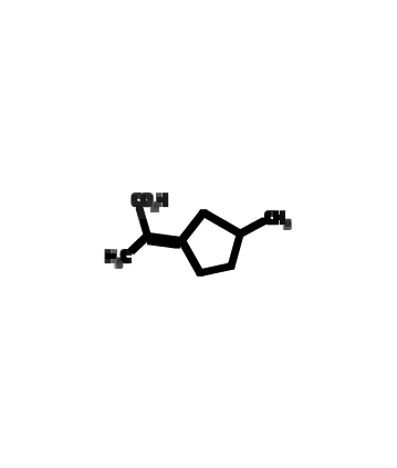 CC(C(=O)O)=C1CCC(C)C1